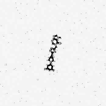 Cn1cnc2ncn(Cc3nc(C4C5CN(c6cc(F)cc(F)c6)CC54)no3)c(=O)c21